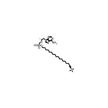 C[C@H](Cn1cnc2c(N)ncnc21)OCP(=O)(O)OCCCCCCCCCCCCCCCCC#CS(C)(C)C